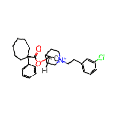 O=C(O[C@H]1C[N+]2(CCc3cccc(Cl)c3)CCC1CC2)C1(c2ccccc2)CCCCCC1